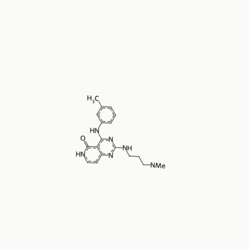 CNCCCNc1nc(Nc2cccc(C)c2)c2c(=O)[nH]ccc2n1